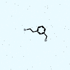 BrCCc1cccc(CBr)c1